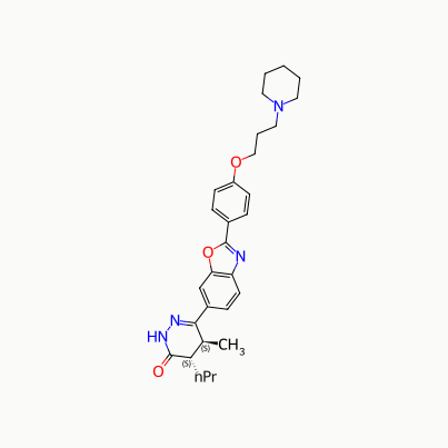 CCC[C@@H]1C(=O)NN=C(c2ccc3nc(-c4ccc(OCCCN5CCCCC5)cc4)oc3c2)[C@H]1C